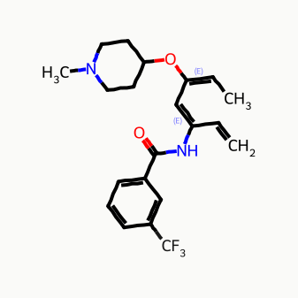 C=C/C(=C\C(=C/C)OC1CCN(C)CC1)NC(=O)c1cccc(C(F)(F)F)c1